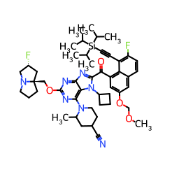 COCOc1cc(C(=O)c2nc3nc(OC[C@@]45CCCN4C[C@H](F)C5)nc(N4CCC(C#N)CC4C)c3n2C2CCC2)c2c(C#C[Si](C(C)C)(C(C)C)C(C)C)c(F)ccc2c1